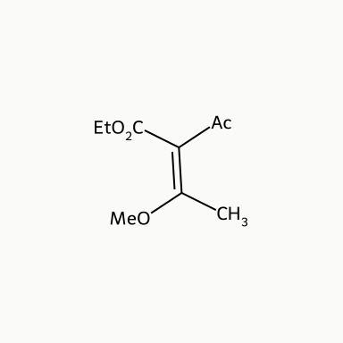 CCOC(=O)/C(C(C)=O)=C(/C)OC